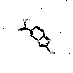 COC(=O)c1ccc2nc(C(C)(C)C)cn2c1